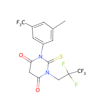 Cc1cc(N2C(=O)CC(=O)N(CC(F)(F)C(F)(F)F)C2=S)cc(C(F)(F)F)c1